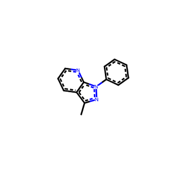 Cc1nn(-c2ccccc2)c2ncccc12